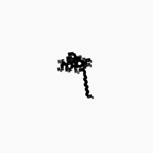 C/C=C(/C)C(=O)O[C@H]1C(C)=CC23C(=O)[C@@H](C=C(CO)[C@@H](O)[C@]12O)[C@@H]1C(C)(C)[C@]1(OC(=O)CCCCCCCCCCC)CC3C